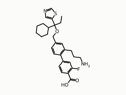 CCC(OCc1ccc(-c2ccc(C(=O)O)c(F)c2)c(CCCN)c1)(c1cncs1)C1CCCCC1